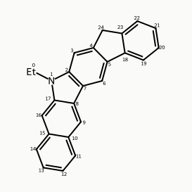 CCn1c2cc3c(cc2c2cc4ccccc4cc21)-c1ccccc1C3